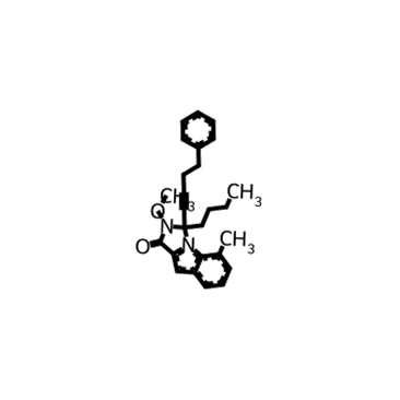 CCCCC1(C#CCCc2ccccc2)N(OC)C(=O)c2cc3cccc(C)c3n21